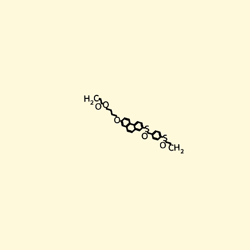 C=CC(=O)OCCCCOc1ccc2c(ccc3cc(SC(=O)c4ccc(SC(=O)C=C)cc4)ccc32)c1